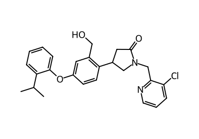 CC(C)c1ccccc1Oc1ccc(C2CC(=O)N(Cc3ncccc3Cl)C2)c(CO)c1